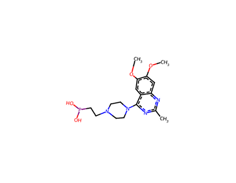 COc1cc2nc(C)nc(N3CCN(CCP(O)O)CC3)c2cc1OC